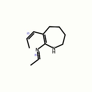 C/C=C\C1=C(/N=C/C)NCCCC1